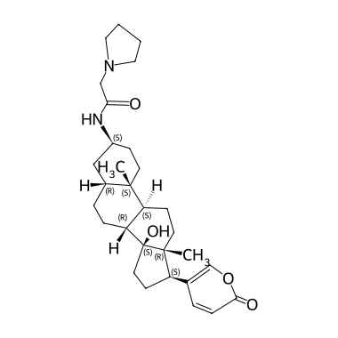 C[C@]12CC[C@H](NC(=O)CN3CCCC3)C[C@H]1CC[C@@H]1[C@@H]2CC[C@]2(C)[C@@H](c3ccc(=O)oc3)CC[C@]12O